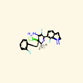 NC1=C(F)C(c2ccc3cc[nH]c3c2F)=NC(C(=O)O)C1(Cl)Cc1ccccc1F